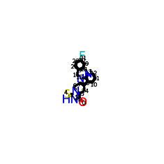 O=C1NC(=S)N2Cc3c(c4cccnc4n3Cc3ccc(F)cc3)CC12